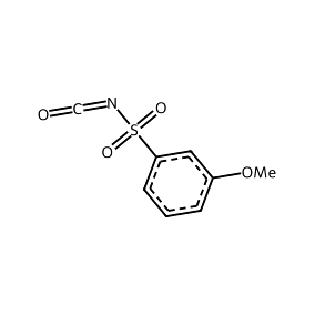 COc1cccc(S(=O)(=O)N=C=O)c1